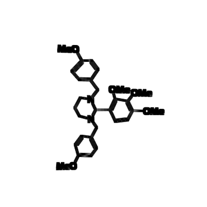 COc1ccc(CN2CCCN(Cc3ccc(OC)cc3)C2c2ccc(OC)c(OC)c2OC)cc1